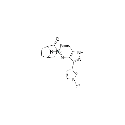 CCn1cc(-c2n[nH]c3cnc(N4C5CCC4C(=O)N(C)C5)nc23)cn1